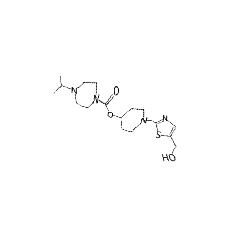 CC(C)N1CCN(C(=O)OC2CCN(c3ncc(CO)s3)CC2)CC1